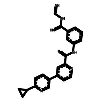 N=CNC(=N)c1cccc(NC(=O)c2cc(-c3ccc(C4CC4)nc3)ccn2)c1